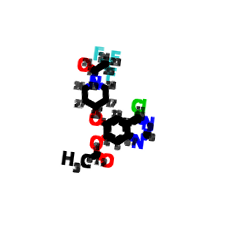 CC(=O)Oc1cc2ncnc(Cl)c2cc1OC1CCN(C(=O)C(F)(F)F)CC1